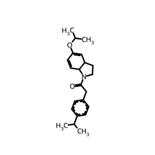 CC(C)OC1=CC2CCN(C(=O)Cc3ccc(C(C)C)cc3)C2C=C1